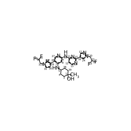 CC1(O)CCC(Nc2cc(Nc3ccnc(-c4cnn(CC(F)F)c4)n3)ncc2-c2ccn(CC(F)F)n2)CC1